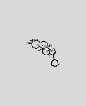 C[C@]12CCC(=O)NCC1CC[C@@H]1[C@@H]2CC[C@]2(C)C(c3cccnc3)=CC[C@@H]12